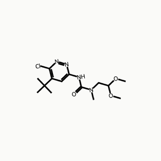 COC(CN(C)C(=O)Nc1cc(C(C)(C)C)c(Cl)nn1)OC